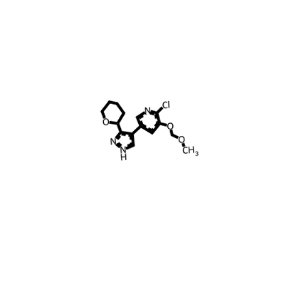 COCOc1cc(-c2c[nH]nc2C2CCCCO2)cnc1Cl